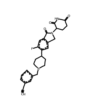 C#Cc1cccc(CN2CCC(c3cc4c(cc3F)C(=O)N(C3CCC(=O)NC3=O)C4)CC2)c1